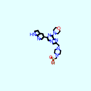 O=[SH](=O)CN1CCN(Cc2cn3cc(-c4cnc5[nH]ccc5c4)nc(N4CCOCC4)c3n2)CC1